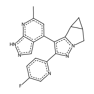 Cc1cc(-c2c(-c3ccc(F)cn3)nn3c2C2CC2C3)c2cn[nH]c2n1